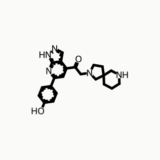 O=C(CN1CCC2(CCCNC2)C1)c1cc(-c2ccc(O)cc2)nc2[nH]ncc12